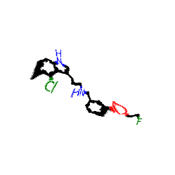 FCCOc1cccc(CNCCc2c[nH]c3cccc(Cl)c23)c1